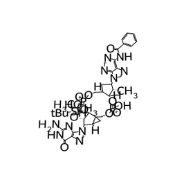 C[C@@H]1[C@@H]2OP(=O)(O)OCC34C[C@@H]3[C@@H](n3cnc5c(=O)[nH]c(N)nc53)[C@H](O[Si](C)(C)C(C)(C)C)[C@@H]4OP(=O)(O)OC[C@H]2C[C@H]1n1cnc2c(NC(=O)c3ccccc3)ncnc21